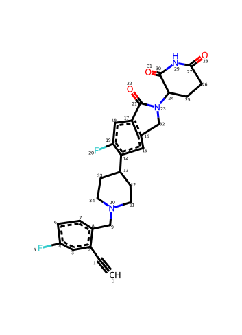 C#Cc1cc(F)ccc1CN1CCC(c2cc3c(cc2F)C(=O)N(C2CCC(=O)NC2=O)C3)CC1